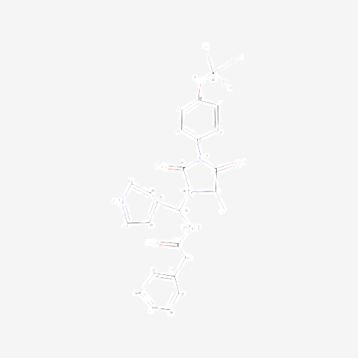 CC1C(=O)N(c2ccc(OC(F)(F)F)cc2)C(=O)N1C(NC(=O)Cc1ccccc1)c1ccncc1